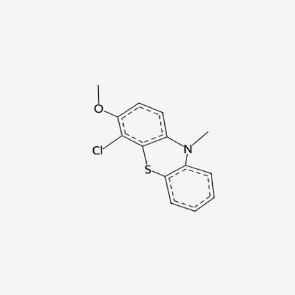 COc1ccc2c(c1Cl)Sc1ccccc1N2C